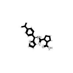 CC(C)c1ccc([C@@H](NC(=O)C2CCCC2C(=O)O)c2cccs2)cc1